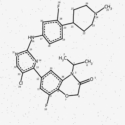 CC(C)N1C(=O)COc2c(F)cc(-c3nc(Nc4ccc(C5CCN(C)CC5)c(F)c4)ncc3Cl)cc21